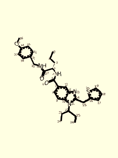 CCC[C@H](NC(=O)c1ccc2c(c1)nc(Cc1cccs1)n2C(CC)CC)C(=O)NCc1ccc(OC)cc1